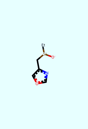 CC[S+]([O-])Cc1cocn1